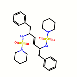 O=S(=O)(N[C@H](/C=C/[C@H](Cc1ccccc1)NS(=O)(=O)N1CCCCC1)Cc1ccccc1)N1CCCCC1